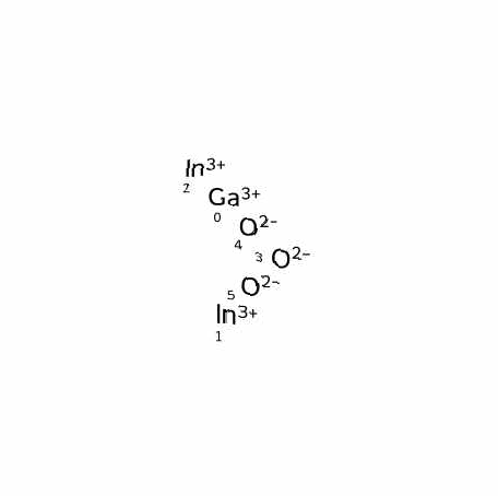 [Ga+3].[In+3].[In+3].[O-2].[O-2].[O-2]